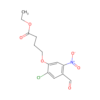 CCOC(=O)CCCOc1cc([N+](=O)[O-])c(C=O)cc1Cl